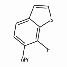 CCCc1ccc2ccsc2c1F